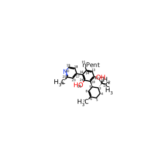 C=C(C)[C@@H]1CCC(C)=C[C@H]1c1c(O)cc(CCCCC)c(-c2ccnc(C)c2)c1O